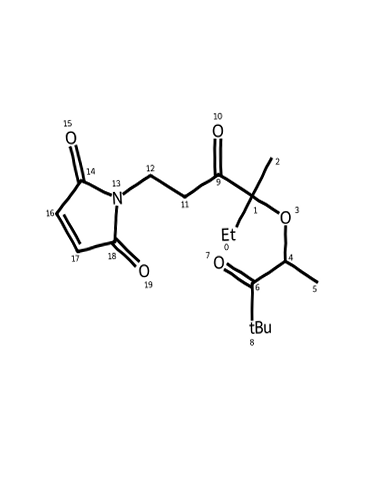 CCC(C)(OC(C)C(=O)C(C)(C)C)C(=O)CCN1C(=O)C=CC1=O